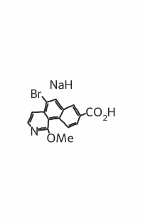 COc1nccc2c(Br)cc3cc(C(=O)O)ccc3c12.[NaH]